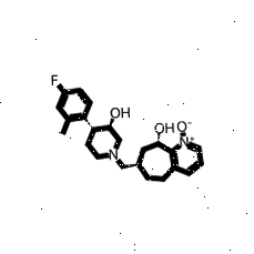 Cc1cc(F)ccc1[C@H]1CCN(C[C@@H]2CCc3ccc[n+]([O-])c3[C@@H](O)C2)C[C@@H]1O